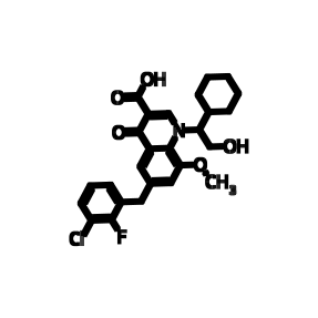 COc1cc(Cc2cccc(Cl)c2F)cc2c(=O)c(C(=O)O)cn(C(CO)C3CCCCC3)c12